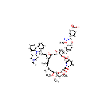 C=CC[C@@H]1/C=C(\C)C[C@H](C)C[C@H](OC)[C@H]2O[C@@](O)(C(=O)C(=O)N3CCCC[C@H]3C(=O)O[C@H](/C(C)=C/[C@@H]3CC[C@@H](O)[C@H](OC)C3)[C@H](C)[C@@H](O)CC1=O)[C@H](C)C[C@@H]2OC.CN1CCC(N(Cc2ccccc2)c2ccccc2)CC1.NC[C@H]1CC[C@H](C(=O)O)CC1